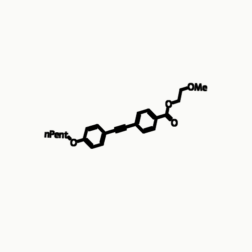 CCCCCOc1ccc(C#Cc2ccc(C(=O)OCCOC)cc2)cc1